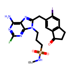 CC(C)(C)NS(=O)(=O)CCCn1c(Cc2cc3c(cc2I)CCC3=O)nc2c(N)nc(F)nc21